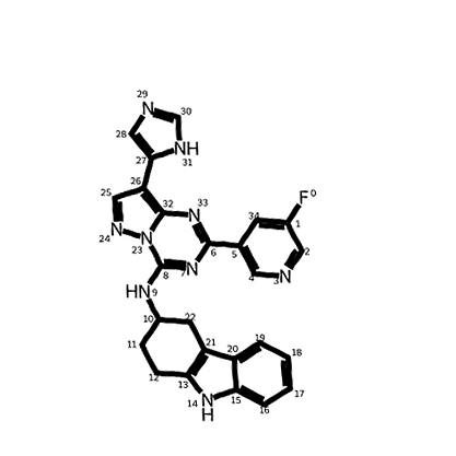 Fc1cncc(-c2nc(NC3CCc4[nH]c5ccccc5c4C3)n3ncc(-c4cnc[nH]4)c3n2)c1